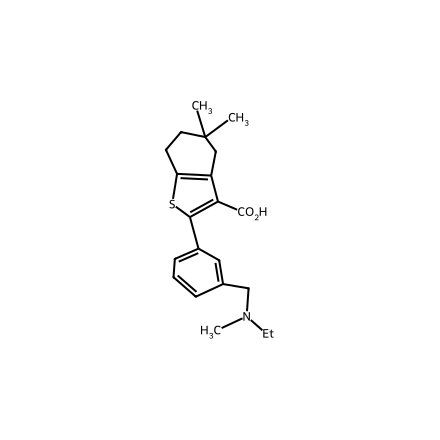 CCN(C)Cc1cccc(-c2sc3c(c2C(=O)O)CC(C)(C)CC3)c1